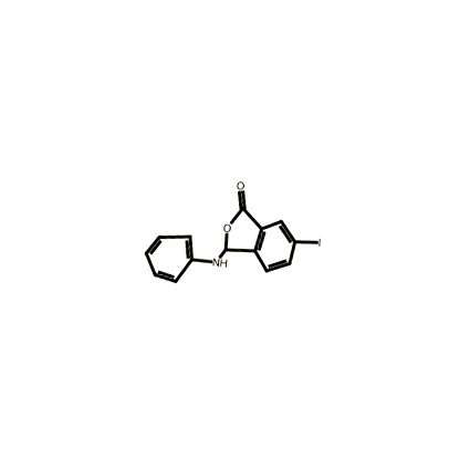 O=C1OC(Nc2ccccc2)c2ccc(I)cc21